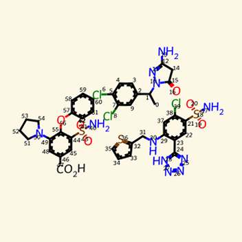 CC(c1ccc(Cl)c(Cl)c1)N1N=C(N)CC1=O.NS(=O)(=O)c1cc(-c2nnn[nH]2)c(NCc2cccs2)cc1Cl.NS(=O)(=O)c1cc(C(=O)O)cc(N2CCCC2)c1Oc1ccccc1